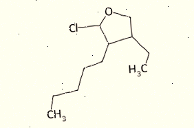 CCCCCC1C(CC)COC1Cl